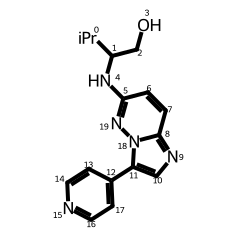 CC(C)C(CO)Nc1ccc2ncc(-c3ccncc3)n2n1